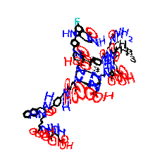 CC(C)[C@H](NC(=O)[C@H](CCC(=O)O)Nc1c(NCCN2CCN(CC(=O)O)CCN(C(CCC(=O)NCC3CCC(C(=O)NC(Cc4ccc5ccccc5c4)C(=O)NCCCCC(NC(=O)NC(CCC(=O)O)C(=O)O)C(=O)O)CC3)C(=O)O)CCN(CC(=O)O)CC2)c(=O)c1=O)C(=O)N[C@@H](CCCNC(N)=O)C(=O)Nc1ccc(OC(=O)N(C)Cc2ccc(-c3[nH]c4cc(F)cc5c4c3CCNC5=O)cc2)cc1